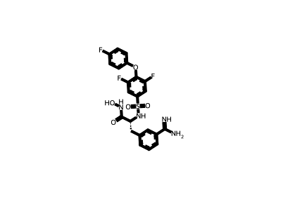 N=C(N)c1cccc(C[C@@H](NS(=O)(=O)c2cc(F)c(Oc3ccc(F)cc3)c(F)c2)C(=O)NO)c1